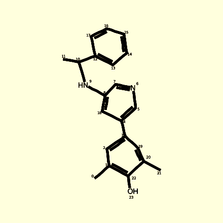 Cc1cc(-c2cncc(NC(C)c3ccccc3)c2)cc(C)c1O